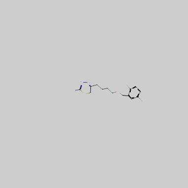 NC1=NN=C(CCCCOCc2cc(F)ccc2F)CS1